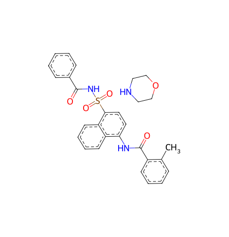 C1COCCN1.Cc1ccccc1C(=O)Nc1ccc(S(=O)(=O)NC(=O)c2ccccc2)c2ccccc12